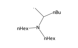 [CH2]C(CCCC)N(CCCCCC)CCCCCC